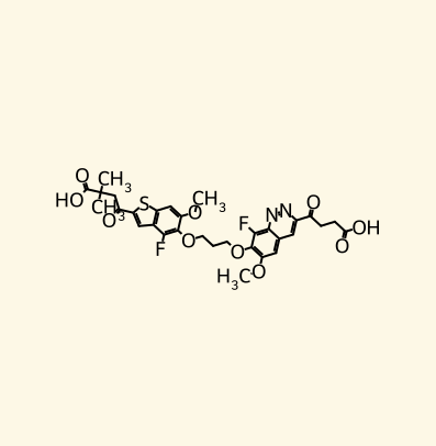 COc1cc2sc(C(=O)CC(C)(C)C(=O)O)cc2c(F)c1OCCCOc1c(OC)cc2cc(C(=O)CCC(=O)O)nnc2c1F